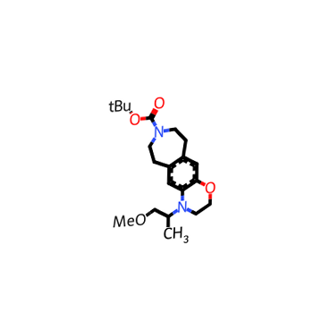 COCC(C)N1CCOc2cc3c(cc21)CCN(C(=O)OC(C)(C)C)CC3